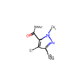 CCc1c(C(C)(C)C)nn(C)c1C(=O)NC